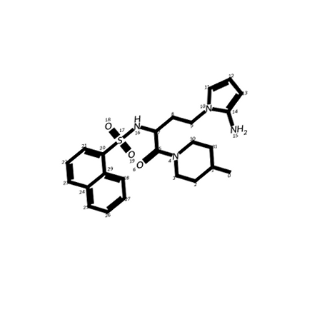 CC1CCN(C(=O)C(CCn2cccc2N)NS(=O)(=O)c2cccc3ccccc23)CC1